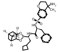 CC1(N)CCOc2cc(S(=O)(=O)N[C@@H](Cc3ccccc3)C(=O)N[C@@H](CC3CCC3)B3OC4[C@H]5C[C@@H](C[C@H]4O3)C5(C)C)ccc21